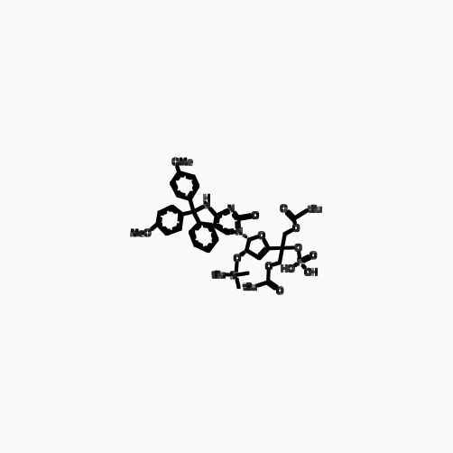 COc1ccc(C(Nc2ccn([C@@H]3OC(C(COC(=O)C(C)(C)C)(COC(=O)C(C)(C)C)OP(=O)(O)O)=C[C@H]3O[Si](C)(C)C(C)(C)C)c(=O)n2)(c2ccccc2)c2ccc(OC)cc2)cc1